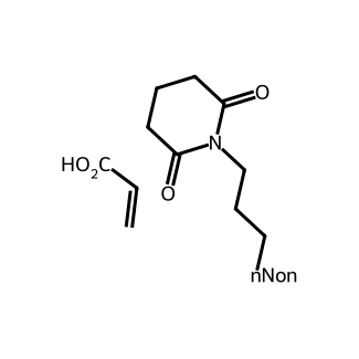 C=CC(=O)O.CCCCCCCCCCCCN1C(=O)CCCC1=O